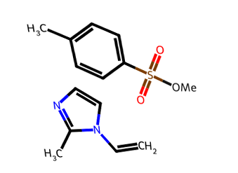 C=Cn1ccnc1C.COS(=O)(=O)c1ccc(C)cc1